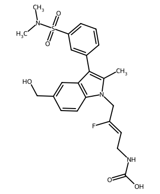 Cc1c(-c2cccc(S(=O)(=O)N(C)C)c2)c2cc(CO)ccc2n1CC(F)=CCNC(=O)O